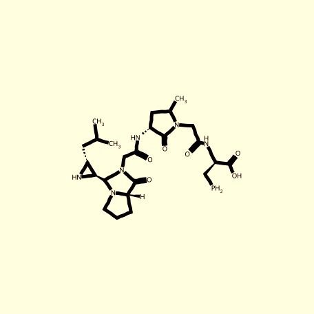 CC(C)C[C@H]1N[C@@H]1C1N(CC(=O)N[C@@H]2CC(C)N(CC(=O)N[C@H](CP)C(=O)O)C2=O)C(=O)[C@@H]2CCCN12